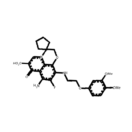 COc1ccc(OCCNc2c(F)c(N)c3c(=O)c(C(=O)O)cn4c3c2OCC42CCCC2)cc1OC